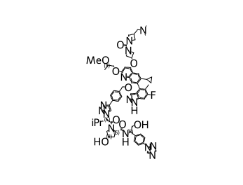 CO[C@@H](C)COc1cc(OC2CN(C(=O)N3CC(CN(C)C)C3)C2)c2cc(C3CC3)c(-c3c(C)c(F)cc4[nH]ncc34)c(OCc3ccc(-c4cn([C@H](C(=O)N5C[C@H](O)C[C@H]5C(=O)N[C@@H](CO)c5ccc(-n6cncn6)cc5)C(C)C)nn4)cc3)c2n1